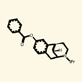 CC(C)N1CC[C@]23CCCC[C@H]2C1Cc1ccc(OC(=O)c2ccccc2)cc13